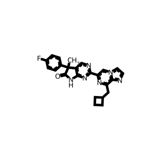 CC1(c2ccc(F)cc2)C(=O)Nc2nc(-c3cn4ccnc4c(CC4CCC4)n3)ncc21